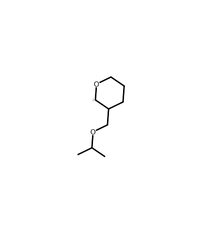 CC(C)OCC1[C]OCCC1